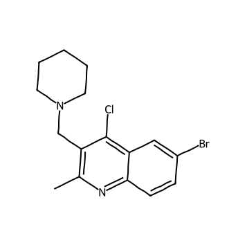 Cc1nc2ccc(Br)cc2c(Cl)c1CN1CCCCC1